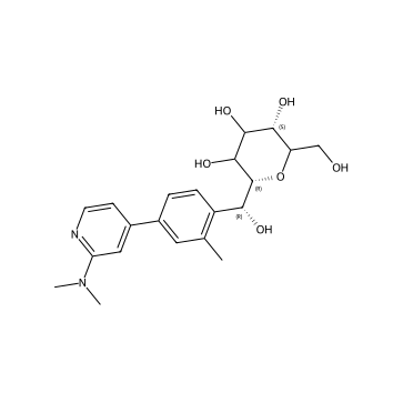 Cc1cc(-c2ccnc(N(C)C)c2)ccc1[C@@H](O)[C@H]1OC(CO)[C@@H](O)C(O)C1O